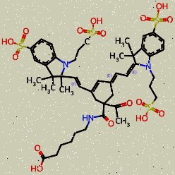 CC(=O)C1(C(=O)NCCCCCC(=O)O)CC(/C=C/C2(C)N(CCCS(=O)(=O)O)c3ccc(S(=O)(=O)O)cc3C2(C)C)=CC(=C/C=C2/N(CCCS(=O)(=O)O)c3ccc(S(=O)(=O)O)cc3C2(C)C)/C1